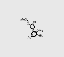 COCO[C@H]1CN(c2cc(C(C)=O)cc(C(C)(C)C)c2OC)C[C@@H]1O